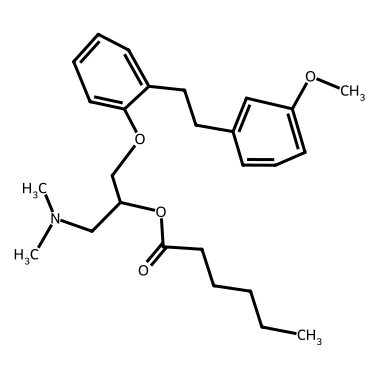 CCCCCC(=O)OC(COc1ccccc1CCc1cccc(OC)c1)CN(C)C